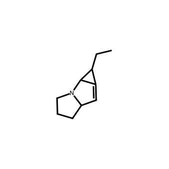 CCC1C2=CC3CCCN3C21